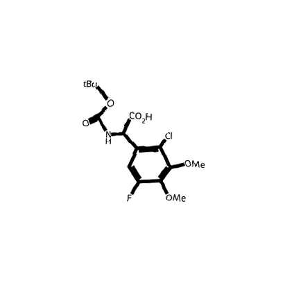 COc1c(F)cc(C(NC(=O)OC(C)(C)C)C(=O)O)c(Cl)c1OC